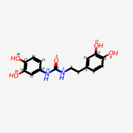 O=C(NCCc1ccc(O)c(O)c1)Nc1ccc(O)c(O)c1